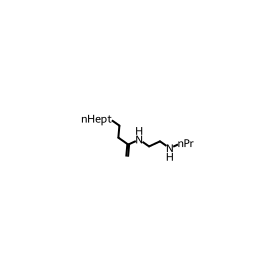 C=C(CCCCCCCCC)NCCNCCC